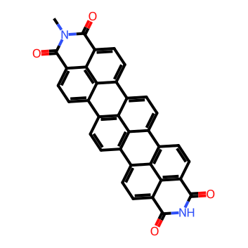 CN1C(=O)c2ccc3c4ccc5c6ccc7c8c(ccc(c9ccc(c%10ccc(c2c3%10)C1=O)c4c59)c86)C(=O)NC7=O